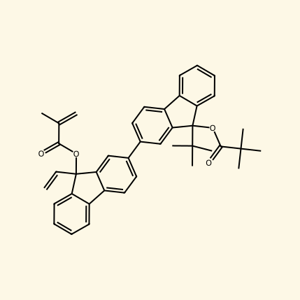 C=CC1(OC(=O)C(=C)C)c2ccccc2-c2ccc(-c3ccc4c(c3)C(OC(=O)C(C)(C)C)(C(C)(C)C)c3ccccc3-4)cc21